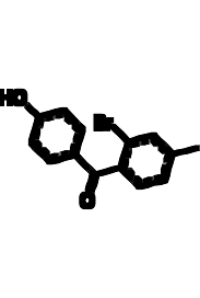 Cc1ccc(C(=O)c2ccc(O)cc2)c(Br)c1